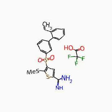 C=Cc1ccccc1-c1cccc(S(=O)(=O)c2cc(C(=N)N)sc2SC)c1.O=C(O)C(F)(F)F